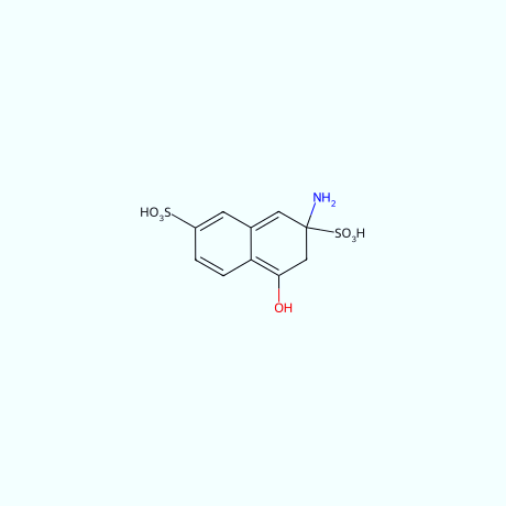 NC1(S(=O)(=O)O)C=c2cc(S(=O)(=O)O)ccc2=C(O)C1